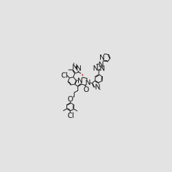 Cc1cc(OCCCc2c3c(n4c2C(=O)N(c2cn(C)c5ccc(-c6ncn(-c7ccccn7)n6)cc25)C[C@H]4C)C(c2c(C)nn(C)c2C)C(Cl)C=C3)cc(C)c1Cl